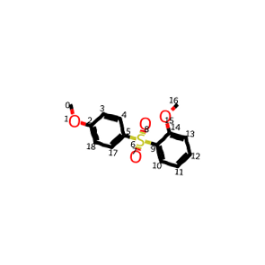 COc1ccc(S(=O)(=O)c2ccccc2OC)cc1